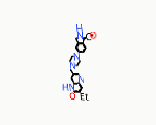 CCc1cc2ncc(CN3CCN(c4ccc5c(c4)CNC5=C=O)CC3)cc2[nH]c1=O